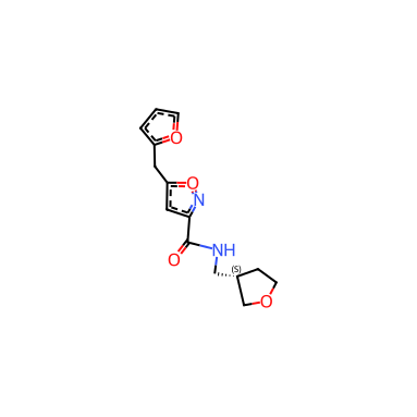 O=C(NC[C@@H]1CCOC1)c1cc(Cc2ccco2)on1